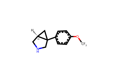 FC(F)(F)Oc1ccc(C23CNC[C@H]2C3)cc1